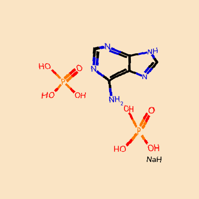 Nc1ncnc2[nH]cnc12.O=P(O)(O)O.O=P(O)(O)O.[NaH]